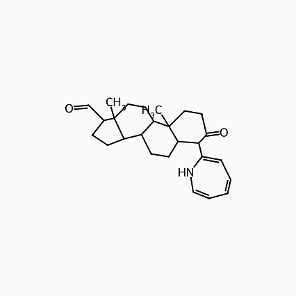 CC12CCC3C(CCC4C(C5=CC=CC=CN5)C(=O)CCC43C)C1CCC2C=O